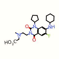 CN(CCn1c(=O)c2cc(F)c(NC3CCCCC3)cc2n(C2CCCC2)c1=O)CC(=O)O